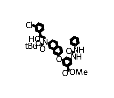 COC(=O)c1cc(NC(=O)Nc2ccccc2)cc(Oc2ccc3c(c2)C[C@@H](N(C[C@H](O)c2cccc(Cl)c2)C(=O)OC(C)(C)C)CC3)c1